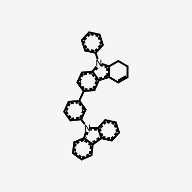 C1=Cc2c(n(-c3ccccc3)c3ccc(-c4cccc(-n5c6ccccc6c6ccccc65)c4)cc23)CC1